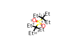 CCC(CC)(CC)S(=O)(=O)C(CC)(CC)CC